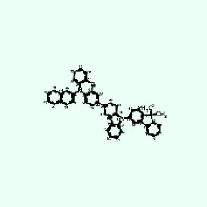 CC1(C)c2ccccc2-c2cc(-n3c4ccccc4c4cc(-c5ccc6c(c5)Oc5ccccc5N6c5ccc6ccccc6c5)ccc43)ccc21